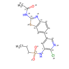 CCCS(=O)(=O)Nc1cc(-c2ccc3nc(NC(C)=O)sc3c2)cnc1Cl